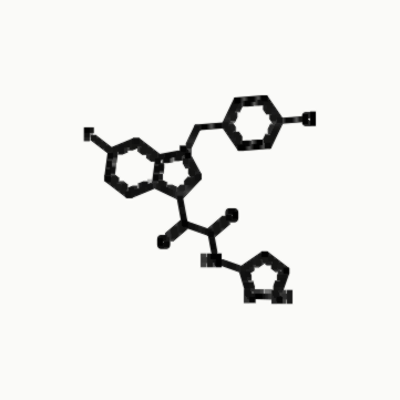 O=C(Nc1cc[nH]n1)C(=O)c1cn(Cc2ccc(Cl)cc2)c2cc(F)ccc12